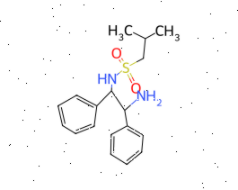 CC(C)CS(=O)(=O)NC(c1ccccc1)C(N)c1ccccc1